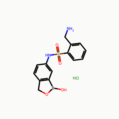 Cl.NCc1ccccc1S(=O)(=O)Nc1ccc2c(c1)B(O)OC2